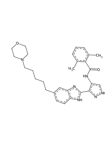 Cc1cccc(C)c1C(=O)Nc1c[nH]nc1-c1nc2cc(CCCCCN3CCOCC3)ccc2[nH]1